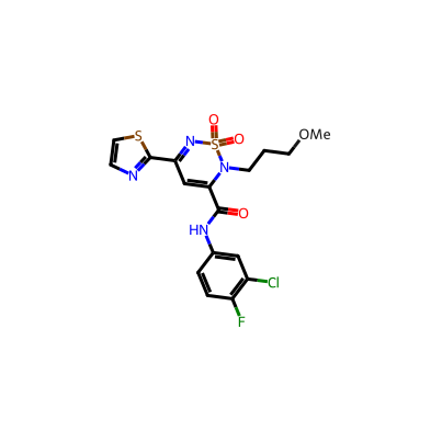 COCCCN1C(C(=O)Nc2ccc(F)c(Cl)c2)=CC(c2nccs2)=NS1(=O)=O